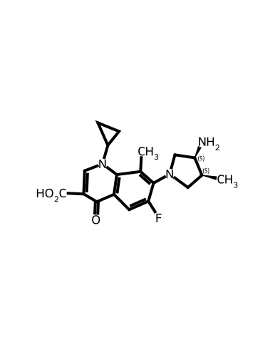 Cc1c(N2C[C@@H](N)[C@@H](C)C2)c(F)cc2c(=O)c(C(=O)O)cn(C3CC3)c12